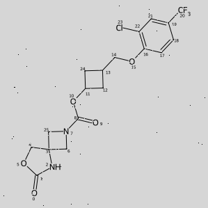 O=C1NC2(CO1)CN(C(=O)OC1CC(COc3ccc(C(F)(F)F)cc3Cl)C1)C2